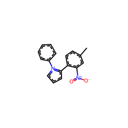 Cc1ccc(-c2cccn2-c2ccccc2)c([N+](=O)[O-])c1